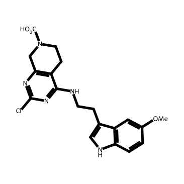 COc1ccc2[nH]cc(CCNc3nc(Cl)nc4c3CCN(C(=O)O)C4)c2c1